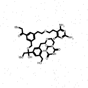 CC(C)(C)CC(=O)c1cc(CCOCCc2c(N)nc(N)nc2N)cc(COC(O)(CC(C)(C)C)c2cc(CO)cc(CCOCCn3c(=O)[nH]c(=O)[nH]c3=O)c2)c1